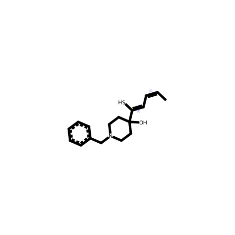 C/C=C\C=C(/S)C1(O)CCN(Cc2ccccc2)CC1